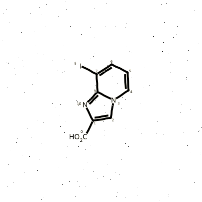 O=C(O)c1cn2cccc(I)c2n1